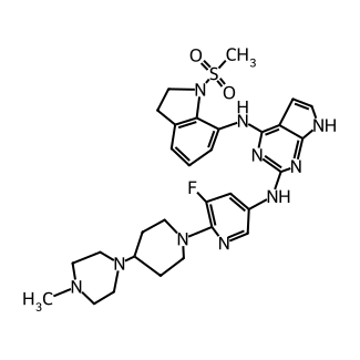 CN1CCN(C2CCN(c3ncc(Nc4nc(Nc5cccc6c5N(S(C)(=O)=O)CC6)c5cc[nH]c5n4)cc3F)CC2)CC1